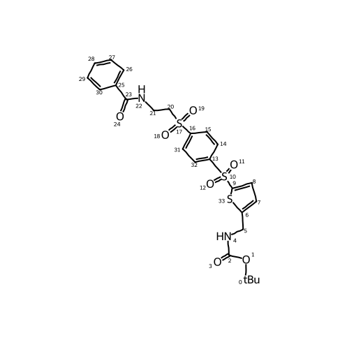 CC(C)(C)OC(=O)NCc1ccc(S(=O)(=O)c2ccc(S(=O)(=O)CCNC(=O)c3ccccc3)cc2)s1